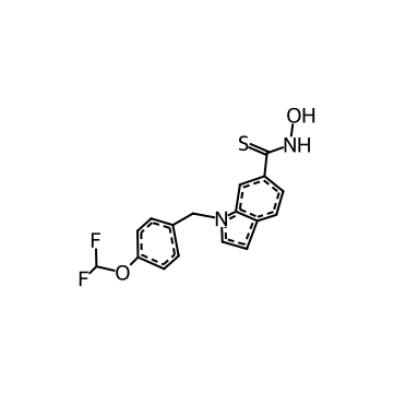 ONC(=S)c1ccc2ccn(Cc3ccc(OC(F)F)cc3)c2c1